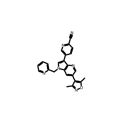 Cc1noc(C)c1-c1cnc2c(-c3ccc(C#N)nc3)cn(Cc3ccccn3)c2c1